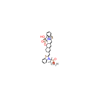 CC(C(=O)O)C(C)(N1/C(=C/C2=CC3=C/C(=C/c4sc5ccccc5[n+]4C(C)([SH](=O)=O)C(C)(O)C=O)CCC3CC2)Sc2ccccc21)[SH](=O)=O